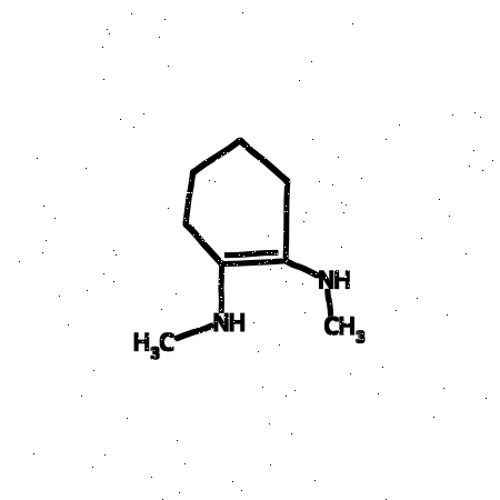 CNC1=C(NC)CCCC1